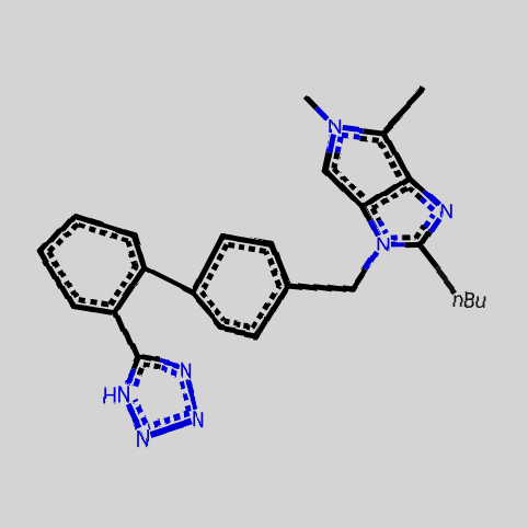 CCCCc1nc2c(C)n(C)cc2n1Cc1ccc(-c2ccccc2-c2nnn[nH]2)cc1